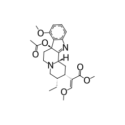 CC[C@@H]1CN2CC[C@@]3(OC(C)=O)C(=Nc4cccc(OC)c43)[C@@H]2C[C@@H]1/C(=C\OC)C(=O)OC